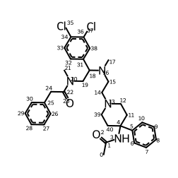 CC(=O)NC1(c2ccccc2)CCN(CCN(C)C(CN(C)C(=O)Cc2ccccc2)c2ccc(Cl)c(Cl)c2)CC1